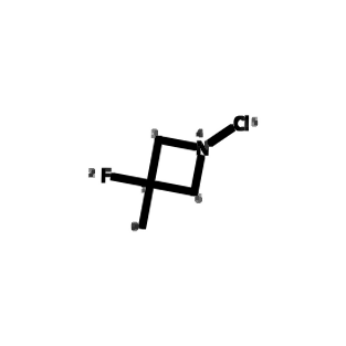 CC1(F)CN(Cl)C1